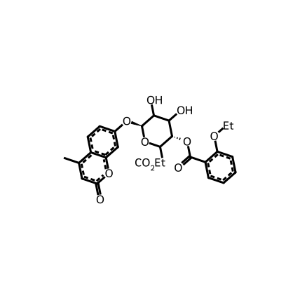 CCOC(=O)C1O[C@@H](Oc2ccc3c(C)cc(=O)oc3c2)C(O)C(O)[C@@H]1OC(=O)c1ccccc1OCC